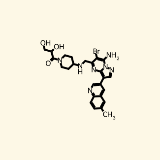 Cc1ccc2ncc(-c3cnn4c(N)c(Br)c(CNC5CCN(C(=O)C(O)CO)CC5)nc34)cc2c1